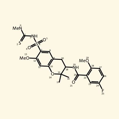 CNC(=S)NS(=O)(=O)c1cc2c(cc1OC)OC(C)(C)C(NC(=O)c1cc(F)ccc1OC)C2